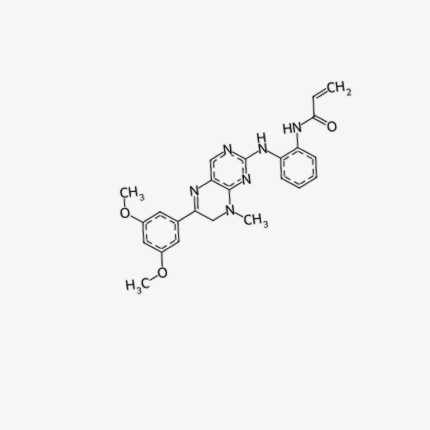 C=CC(=O)Nc1ccccc1Nc1ncc2c(n1)N(C)CC(c1cc(OC)cc(OC)c1)=N2